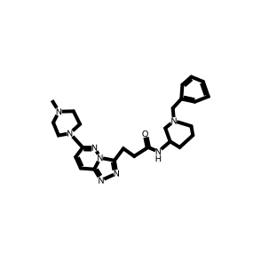 CN1CCN(c2ccc3nnc(CCC(=O)NC4CCCN(Cc5ccccc5)C4)n3n2)CC1